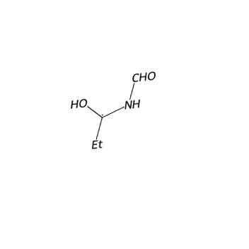 CC[C](O)NC=O